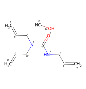 C=CCNC(=O)N(CC=C)CC=C.N#CO